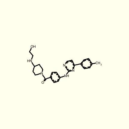 Cc1ccc(-c2ccnc(Nc3ccc(C(=O)N4CCC(NCCO)CC4)cc3)n2)cc1